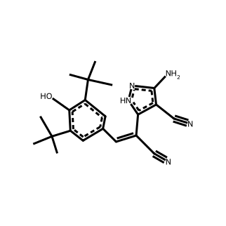 CC(C)(C)c1cc(/C=C(/C#N)c2[nH]nc(N)c2C#N)cc(C(C)(C)C)c1O